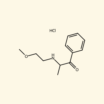 COCCNC(C)C(=O)c1ccccc1.Cl